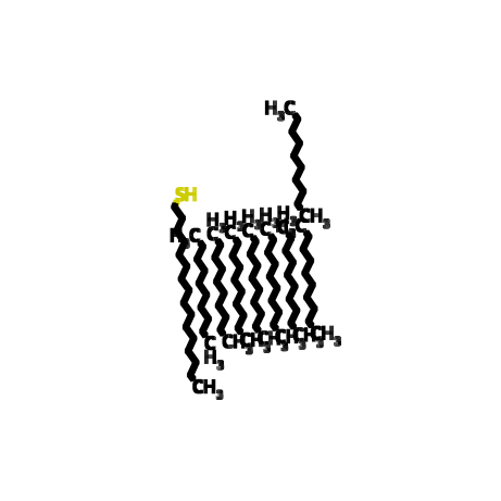 CCCCCCCCCC.CCCCCCCCCC.CCCCCCCCCC.CCCCCCCCCC.CCCCCCCCCC.CCCCCCCCCC.CCCCCCCCCC.CCCCCCCCCC.CCCCCCCCCCCCCCCCS